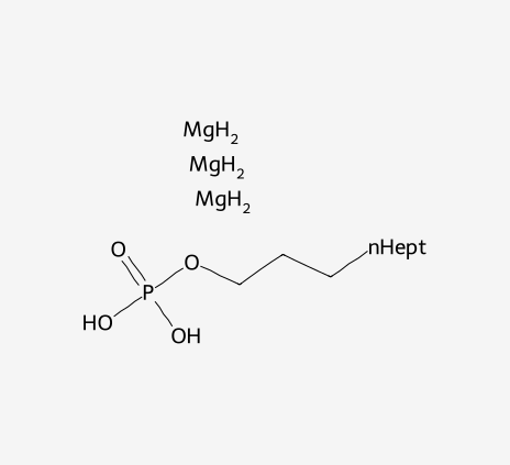 CCCCCCCCCCOP(=O)(O)O.[MgH2].[MgH2].[MgH2]